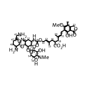 CNC1C(O)[C@@H](OC2C(NC(=O)OC/C=C(\C)CC(C/C(C)=C/Cc3c(O)c4c(c(C)c3OC)COC4=O)C(=O)O)CC(N)[C@@H](O[C@H]3OC(CN)CCC3N)[C@@H]2O)OC[C@]1(C)O